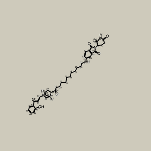 O=C1CCC(N2C(=O)c3ccc(NCCCCCCCCCCCC(=O)N4C[C@H]5C[C@@H]4CN5/C=C/C(=O)c4ccccc4O)cc3C2=O)C(=O)N1